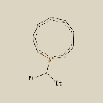 CCC(CC)[s+]1cccccccc1